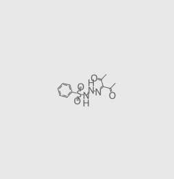 CC(=O)C(=NNNS(=O)(=O)c1ccccc1)C(C)=O